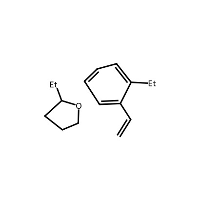 C=Cc1ccccc1CC.CCC1CCCO1